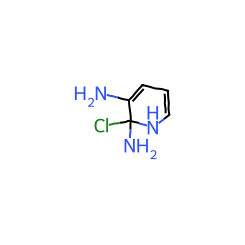 NC1=CC=CNC1(N)Cl